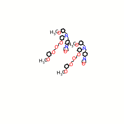 COc1cccc(CN(Cc2ccc(N3CCOCC3)cc2)c2cccc(OCCOCCOc3cccc(OC)c3)c2)c1.COc1cccc(CN(Cc2ccc(N3CCOCC3)cc2)c2cccc(OCCOCCOc3cccc(OC)c3)c2)c1